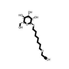 C#CCOCCCCCCCS[C@H]1O[C@H](CO)[C@@H](O)[C@H](O)[C@@H]1O